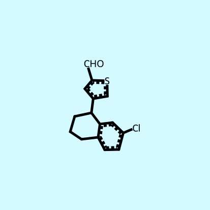 O=Cc1cc(C2CCCc3ccc(Cl)cc32)cs1